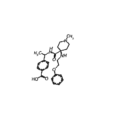 CC(NC(=O)C1(NCCOc2ccccc2)CCN(C)CC1)c1ccc(C(=O)O)cc1